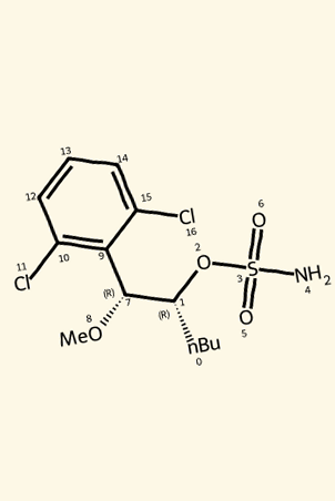 CCCC[C@@H](OS(N)(=O)=O)[C@H](OC)c1c(Cl)cccc1Cl